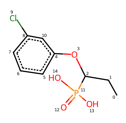 CCC(Oc1cccc(Cl)c1)P(=O)(O)O